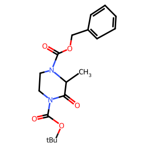 CC1C(=O)N(C(=O)OC(C)(C)C)CCN1C(=O)OCc1ccccc1